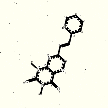 Cn1c(=O)c2ncc(C=Cc3ccccn3)nc2n(C)c1=O